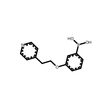 OB(O)c1cccc(OCCc2ccncc2)c1